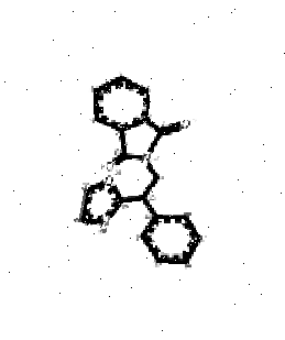 O=C1c2ccccc2C(=O)N1CC(c1ccccc1)c1ncco1